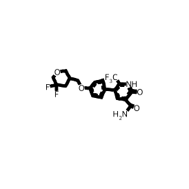 NC(=O)c1cc(-c2ccc(OCC3COCC(F)(F)C3)cc2)c(C(F)(F)F)[nH]c1=O